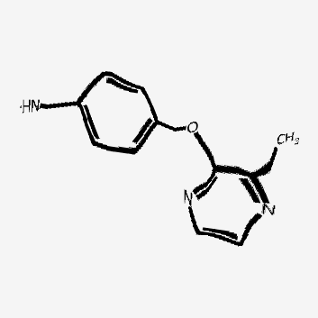 Cc1nccnc1Oc1ccc([NH])cc1